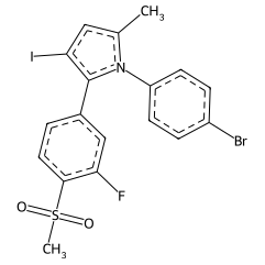 Cc1cc(I)c(-c2ccc(S(C)(=O)=O)c(F)c2)n1-c1ccc(Br)cc1